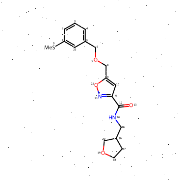 CSc1cccc(COCc2cc(C(=O)NCC3CCOC3)no2)c1